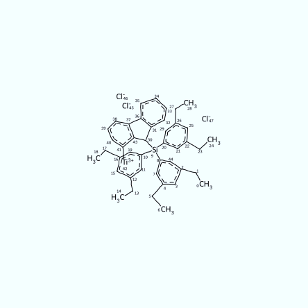 CCc1cc(CC)cc([Si](c2cc(CC)cc(CC)c2)(c2cc(CC)cc(CC)c2)C2c3ccccc3-c3ccc[c]([Ti+3])c32)c1.[Cl-].[Cl-].[Cl-]